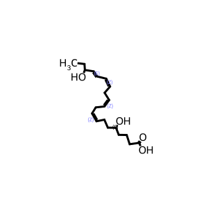 CCC(O)/C=C/C=C\C/C=C\C/C=C\CC[C@@H](O)CCCC(=O)O